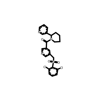 O=C(c1cncc(CS(=O)(=O)c2c(Cl)cccc2Cl)c1)N1CCCCC1c1cccnc1